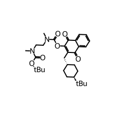 CN(CCN(C)C(=O)OC(C)(C)C)C(=O)OC1=C(C[C@H]2CC[C@H](C(C)(C)C)CC2)C(=O)c2ccccc2C1=O